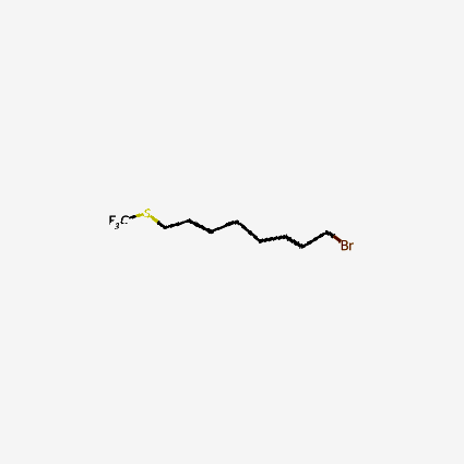 FC(F)(F)SCCCCCCCCBr